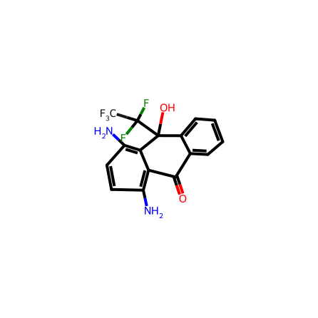 Nc1ccc(N)c2c1C(=O)c1ccccc1C2(O)C(F)(F)C(F)(F)F